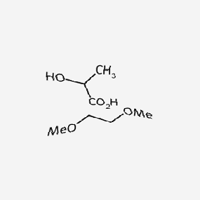 CC(O)C(=O)O.COCCOC